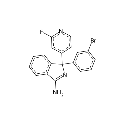 NC1=NC(c2cccc(Br)c2)(c2ccnc(F)c2)c2ccccc21